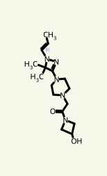 C/C=C/N1N=C(N2CCN(CC(=O)N3CC(O)C3)CC2)C1(C)C